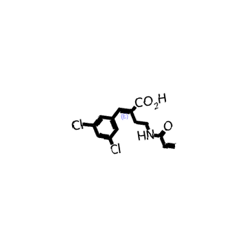 C=CC(=O)NCC/C(=C\c1cc(Cl)cc(Cl)c1)C(=O)O